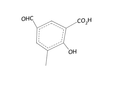 Cc1cc(C=O)cc(C(=O)O)c1O